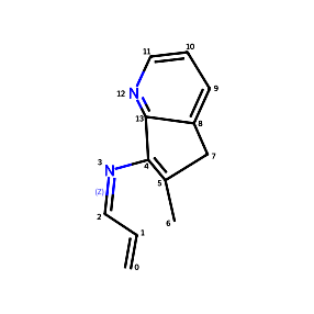 C=C/C=N\C1=C(C)Cc2cccnc21